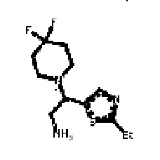 CCc1ncc(C(CN)N2CCC(F)(F)CC2)s1